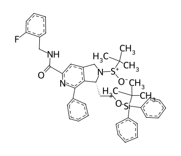 CC(C)(C)[S+]([O-])N1Cc2cc(C(=O)NCc3ccccc3F)nc(-c3ccccc3)c2[C@H]1CCO[Si](c1ccccc1)(c1ccccc1)C(C)(C)C